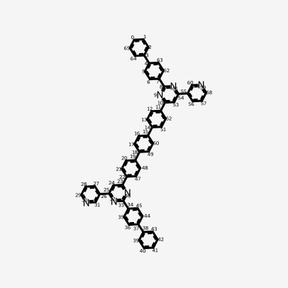 c1ccc(-c2ccc(-c3nc(-c4ccc(-c5ccc(-c6ccc(-c7cc(-c8cccnc8)nc(-c8ccc(-c9ccccc9)cc8)n7)cc6)cc5)cc4)cc(-c4cccnc4)n3)cc2)cc1